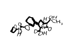 C[C@@H](O)[C@H]1C(=O)N2C(C(=O)O)=C(c3cccc(OC(=O)Nc4ccco4)c3)C[C@H]12